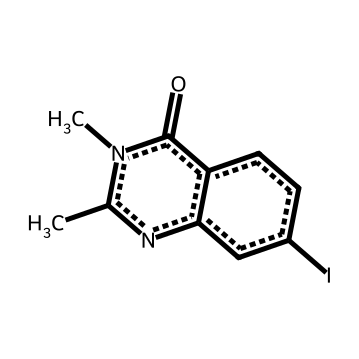 Cc1nc2cc(I)ccc2c(=O)n1C